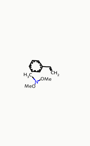 C=Cc1ccccc1.CON(C)OC